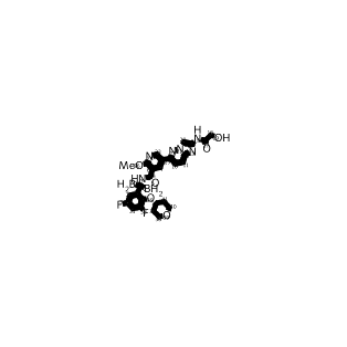 BC(B)(NC(=O)c1cc(-c2ccc3nc(NC(=O)CO)cn3n2)cnc1OC)c1cc(F)cc(F)c1OC1CCOCC1